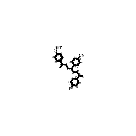 CC(C)Oc1ccc(C(C)CCC(CCC(C)c2ccc(F)cc2)c2ccc(C#N)cc2)cc1